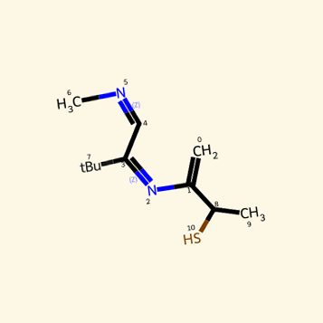 C=C(/N=C(\C=N/C)C(C)(C)C)C(C)S